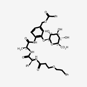 CC(C)CCOCCC(=O)N[C@H](C(=O)N[C@@H](C)C(=O)Nc1ccc(COC(=O)C(C)C)cc1O[C@@H]1O[C@H](C(=O)O)[C@@H](O)[C@H](O)[C@H]1O)C(C)C